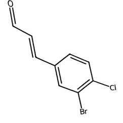 O=CC=Cc1ccc(Cl)c(Br)c1